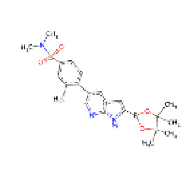 Cc1cc(S(=O)(=O)N(C)C)ccc1-c1cnc2[nH]c(B3OC(C)(C)C(C)(C)O3)cc2c1